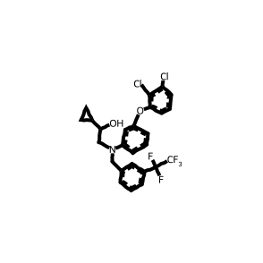 OC(CN(Cc1cccc(C(F)(F)C(F)(F)F)c1)c1cccc(Oc2cccc(Cl)c2Cl)c1)C1CC1